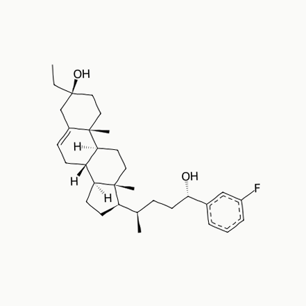 CC[C@]1(O)CC[C@@]2(C)C(=CC[C@H]3[C@@H]4CC[C@H]([C@H](C)CC[C@H](O)c5cccc(F)c5)[C@@]4(C)CC[C@@H]32)C1